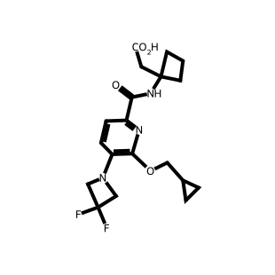 O=C(O)CC1(NC(=O)c2ccc(N3CC(F)(F)C3)c(OCC3CC3)n2)CCC1